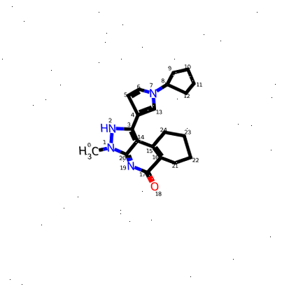 Cn1[nH]c(-c2ccn(C3CCCC3)c2)c2c3c(c(=O)nc1-2)CCCC3